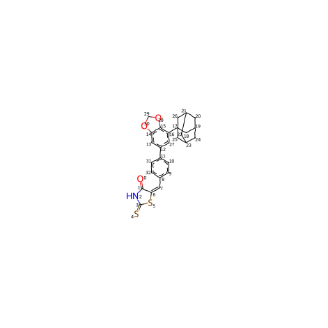 O=C1NC(=S)SC1=Cc1ccc(-c2cc3c(c(C45CC6CC(CC(C6)C4)C5)c2)OCO3)cc1